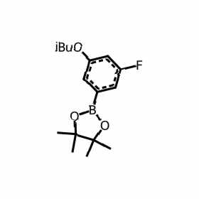 CC(C)COc1cc(F)cc(B2OC(C)(C)C(C)(C)O2)c1